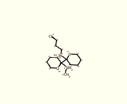 C[SiH2]C1(C2([SiH2]CCCCl)CCCCO2)CCCCO1